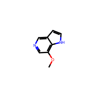 COc1cncc2cc[nH]c12